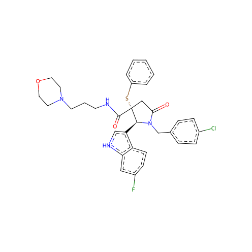 O=C1C[C@](Sc2ccccc2)(C(=O)NCCCN2CCOCC2)[C@H](c2c[nH]c3cc(F)ccc23)N1Cc1ccc(Cl)cc1